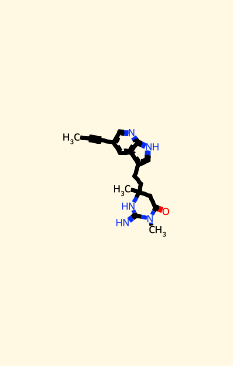 CC#Cc1cnc2[nH]cc(CCC3(C)CC(=O)N(C)C(=N)N3)c2c1